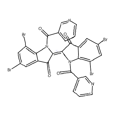 O=C1/C(=C2/C(=O)c3cc(Br)cc(Br)c3N2C(=O)c2cccnc2)N(C(=O)c2cccnc2)c2c(Br)cc(Br)cc21